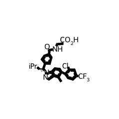 Cc1c(-c2ccc(C(F)(F)F)cc2Cl)ccc2c1cnn2[C@@H](CC(C)C)c1ccc(C(=O)NCCC(=O)O)cc1